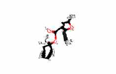 CCC1CC(C(=O)OC2(C)CCCC2)C(CC)O1